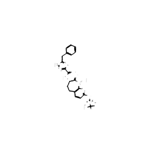 CN1C(=O)[C@@H](NC(=O)c2n[nH]c(Cc3ccccc3)n2)CCc2ccc(OS(=O)(=O)C(F)(F)F)nc21